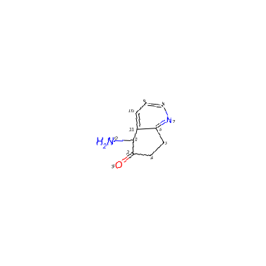 NC1C(=O)CCc2ncccc21